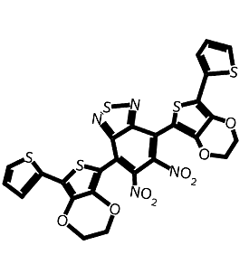 O=[N+]([O-])c1c([N+](=O)[O-])c(-c2sc(-c3cccs3)c3c2OCCO3)c2nsnc2c1-c1sc(-c2cccs2)c2c1OCCO2